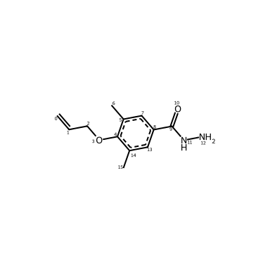 C=CCOc1c(C)cc(C(=O)NN)cc1C